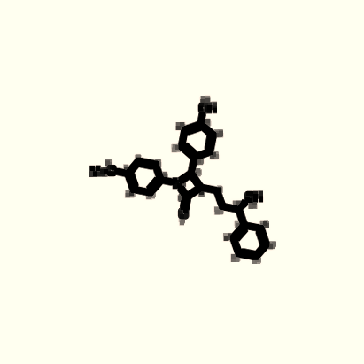 COc1ccc(N2C(=O)C(CC[C@@H](O)c3ccccc3)C2c2ccc(O)cc2)cc1